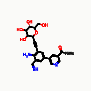 CNC(=O)c1cncc(-c2cc(C#CC3OC(CO)[C@@H](O)C(O)C3O)c(N)c(C=N)c2)c1